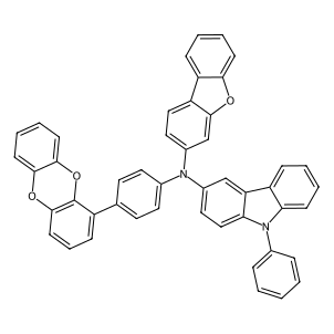 c1ccc(-n2c3ccccc3c3cc(N(c4ccc(-c5cccc6c5Oc5ccccc5O6)cc4)c4ccc5c(c4)oc4ccccc45)ccc32)cc1